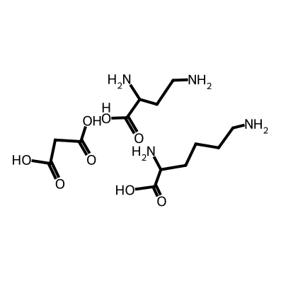 NCCC(N)C(=O)O.NCCCCC(N)C(=O)O.O=C(O)CC(=O)O